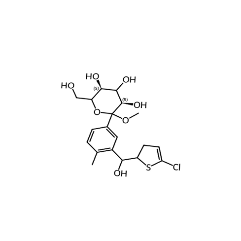 COC1(c2ccc(C)c(C(O)C3CC=C(Cl)S3)c2)OC(CO)[C@@H](O)C(O)[C@H]1O